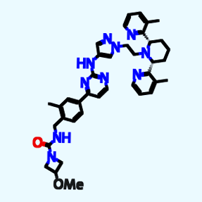 COC1CN(C(=O)NCc2ccc(-c3ccnc(Nc4cnn(CCN5[C@@H](c6ncccc6C)CCC[C@H]5c5ncccc5C)c4)n3)cc2C)C1